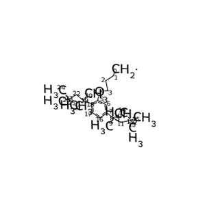 [CH2]CCCOc1cc(C(C)(C)CC(C)(C)C)ccc1C(C)(C)CC(C)(C)C